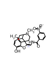 C=CC1C2Cc3ccc(O)c4c3C1(CCN2C)/C(=C\NC(=O)c1cccc([N+](=O)[O-])c1)O4